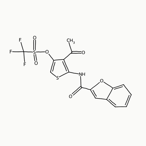 CC(=O)c1c(OS(=O)(=O)C(F)(F)F)csc1NC(=O)c1cc2ccccc2o1